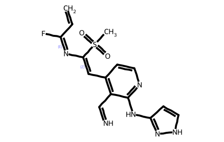 C=C/C(F)=N\C(=C\c1ccnc(Nc2cc[nH]n2)c1C=N)S(C)(=O)=O